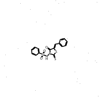 O=C1/C(=C/c2ccccc2)SC(=S)N1NS(=O)(=O)c1ccccc1